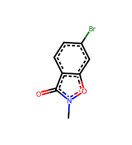 Cn1oc2cc(Br)ccc2c1=O